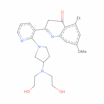 CCc1cc(OC)cc2c1C(=O)CC(c1cccnc1N1CCC(N(CCO)CCO)C1)=N2